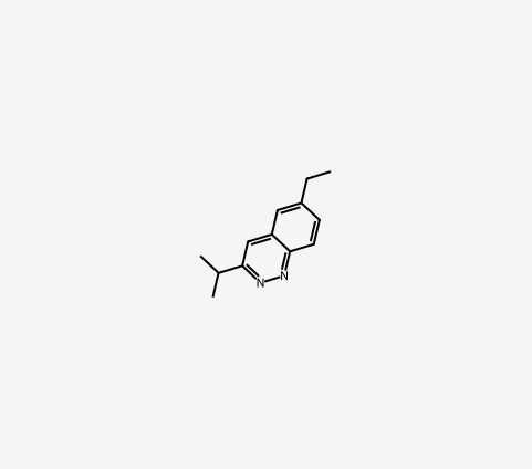 CCc1ccc2nnc(C(C)C)cc2c1